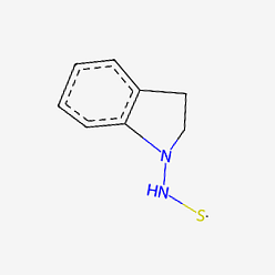 [S]NN1CCc2ccccc21